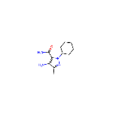 Cc1nn(C2CCCCC2)c(C(N)=O)c1N